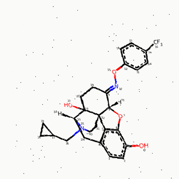 Oc1ccc2c3c1O[C@H]1C(=NOc4ccc(C(F)(F)F)cc4)CCC4(O)[C@@H](C2)N(CC2CC2)CC[C@]314